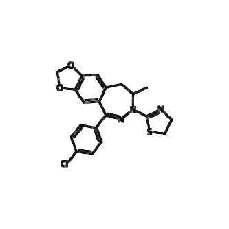 CC1Cc2cc3c(cc2C(c2ccc(Cl)cc2)=NN1C1=NCCS1)OCO3